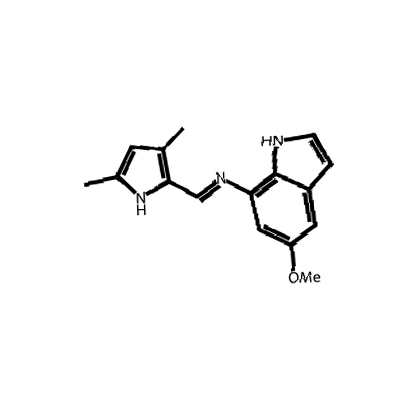 COc1cc(/N=C/c2[nH]c(C)cc2C)c2[nH]ccc2c1